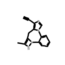 C#Cc1ncn2c1Cc1c(C)[nH]n1-c1ccccc1-2